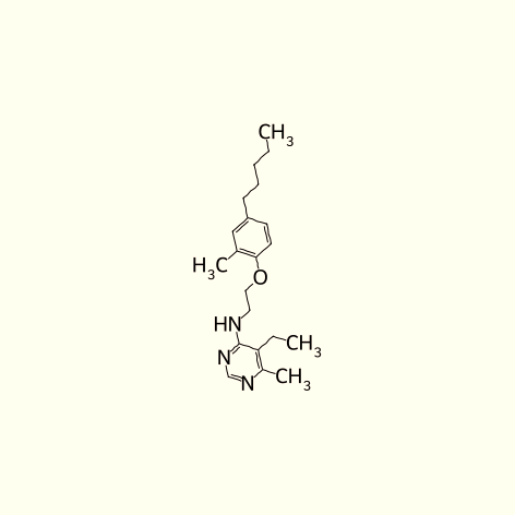 CCCCCc1ccc(OCCNc2ncnc(C)c2CC)c(C)c1